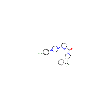 O=C(c1cccc(N2CCN(c3ccc(Cl)cc3)CC2)n1)N1CCC(c2ccccc2C(F)(F)F)C1